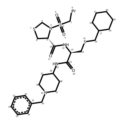 CC(C)CS(=O)(=O)N1CSC[C@H]1C(=O)N[C@@H](CSCC1CCCCC1)C(=O)NC1CCN(Cc2ccccc2)CC1